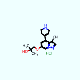 CC(C)(O)COc1cc(C2=CCNCC2)c2c(C#N)cnn2c1.Cl